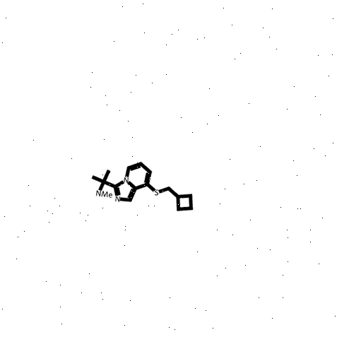 CNC(C)(C)c1ncc2c(SCC3CCC3)cccn12